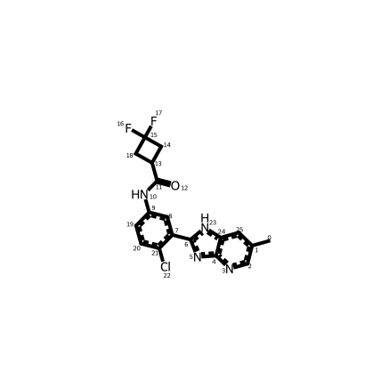 Cc1cnc2nc(-c3cc(NC(=O)C4CC(F)(F)C4)ccc3Cl)[nH]c2c1